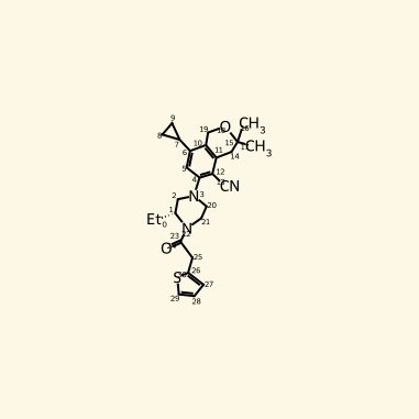 CC[C@@H]1CN(c2cc(C3CC3)c3c(c2C#N)CC(C)(C)OC3)CCN1C(=O)Cc1cccs1